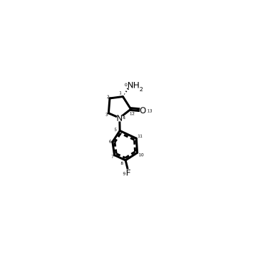 N[C@H]1CCN(c2ccc(F)cc2)C1=O